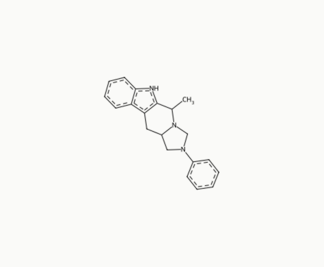 CC1c2[nH]c3ccccc3c2CC2CN(c3ccccc3)CN21